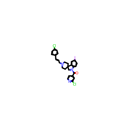 O=C(c1ccnc(Cl)c1)N1CC2(CCN(CC=Cc3ccc(Cl)cc3)CC2)c2cc(I)ccc21